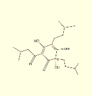 CC(C)CCC1=C(O)[C@@](O)(CCC(C)C)C(=O)C(C(=O)CC(C)C)=C1O